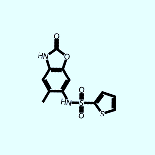 Cc1cc2[nH]c(=O)oc2cc1NS(=O)(=O)c1cccs1